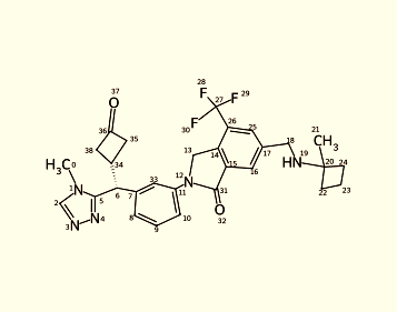 Cn1cnnc1[C@@H](c1cccc(N2Cc3c(cc(CNC4(C)CCC4)cc3C(F)(F)F)C2=O)c1)C1CC(=O)C1